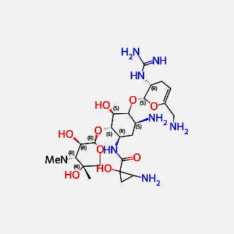 CN[C@@H]1[C@@H](O)[C@@H](O[C@H]2[C@H](NC(=O)C3(O)CC3N)C[C@H](N)C(O[C@H]3OC(CN)=CC[C@H]3NC(=N)N)[C@@H]2O)OC[C@]1(C)O